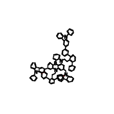 c1ccc(-c2cccc(-c3cccc(-c4ccc5c(c4)c4ccccc4n5-c4ccccc4)c3)c2CCN2c3ccccc3B3c4ccc(-c5ccc6c(c5)c5ccccc5n6-c5ccccc5)cc4N(CCc4c(-c5ccccc5)cccc4-c4ccccc4)c4cc(Cn5c6ccccc6c6ccccc65)cc2c43)cc1